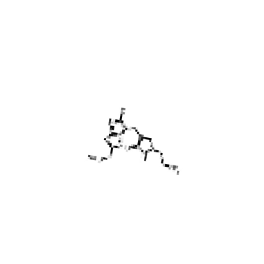 COCc1nn2c(CN3CC(CCC(F)(F)F)NC3=O)c(Cl)nc2s1